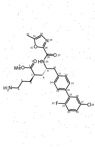 COC(=O)[C@H](CCCN)C[C@@H](Cc1ccc(-c2cc(Cl)ccc2F)cc1)NC(=O)c1ncc(C)o1